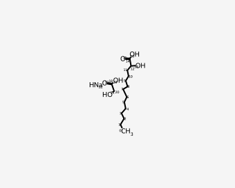 CCCCCCCCCCCCC(O)C(=O)O.O=C(O)CO.[NaH]